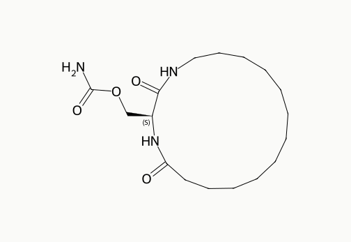 NC(=O)OC[C@@H]1NC(=O)CCCCCCCCCCCCNC1=O